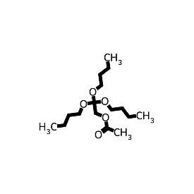 CCCCOC(COC(C)=O)(OCCCC)OCCCC